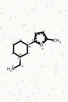 Cc1ccc([C@@H]2CCC[C@H](CN)C2)o1